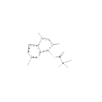 Cc1ccc2c(Cl)cc(Cl)c(NC(=O)C(C)(C)O)c2n1